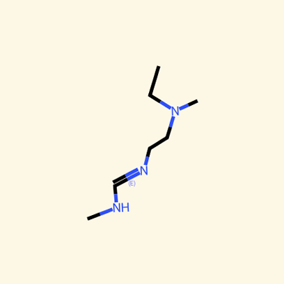 CCN(C)CC/N=C/NC